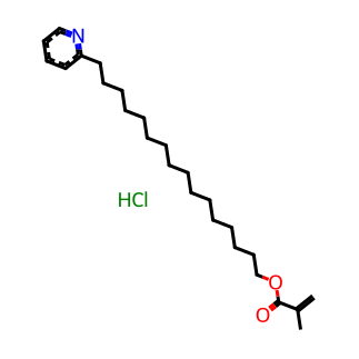 C=C(C)C(=O)OCCCCCCCCCCCCCCCCc1ccccn1.Cl